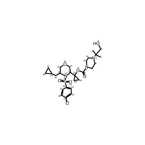 CC(C)(CO)N1CCN(C(=O)OC2(C3COCC(CC4CC4)N3S(=O)(=O)c3ccc(Cl)cc3)CC2)CC1